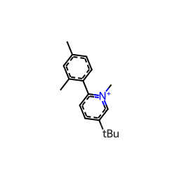 Cc1ccc(-c2ccc(C(C)(C)C)c[n+]2C)c(C)c1